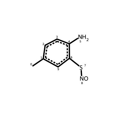 Cc1ccc(N)c(SN=O)c1